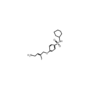 NCC=C(F)COc1ccc(S(=O)(=O)NC2CCCCC2)cc1